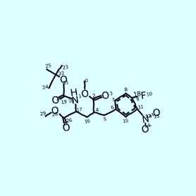 COC(=O)C(Cc1ccc([18F])c([N+](=O)[O-])c1)CC(NC(=O)OC(C)(C)C)C(=O)OC